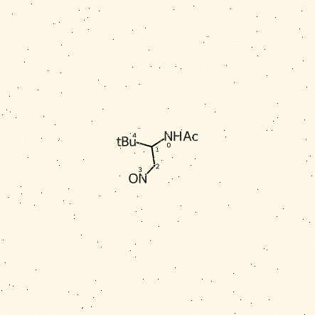 CC(=O)NC(CN=O)C(C)(C)C